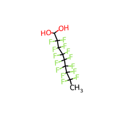 CC(F)(F)C(F)(F)C(F)(F)C(F)(F)C(F)(F)C(F)(F)C(F)(F)C(O)O